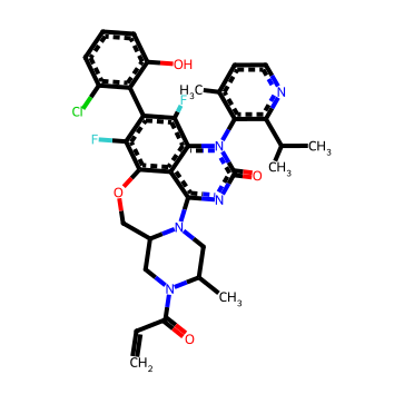 C=CC(=O)N1CC2COc3c(F)c(-c4c(O)cccc4Cl)c(F)c4c3c(nc(=O)n4-c3c(C)ccnc3C(C)C)N2CC1C